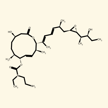 CC[C@H](O)[C@@H](C)[C@H]1O[C@@H]1C[C@H](C)/C=C/C=C(\C)[C@H]1OC(=O)C[C@H](O)CC[C@H](C)[C@@H](OC(=O)N(CC)CCN)/C=C/[C@@H]1C